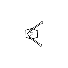 O=C1OC(=O)C23CCC1(CC2)C3